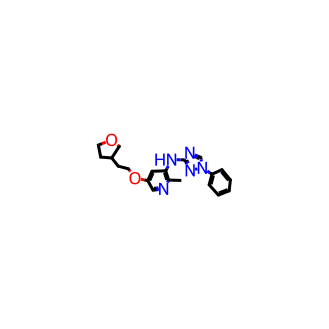 Cc1ncc(OCCC2CCOC2)cc1Nc1ncn(-c2ccccc2)n1